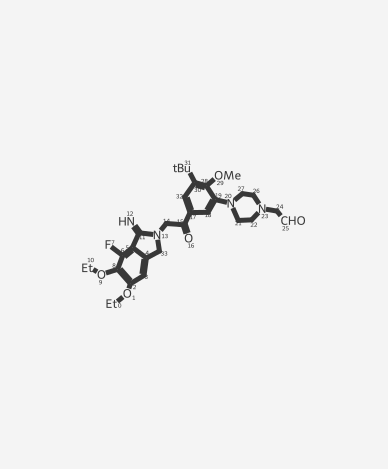 CCOc1cc2c(c(F)c1OCC)C(=N)N(CC(=O)c1cc(N3CCN(CC=O)CC3)c(OC)c(C(C)(C)C)c1)C2